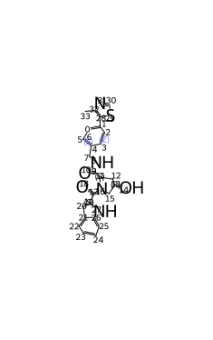 C=C(/C=C\C(=C/C)CNC(=O)[C@@H]1C[C@@H](O)CN1C(=O)[C@@H]1Cc2ccccc2N1)c1scnc1C